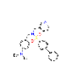 CCN(CC)c1ccc(CN(Cc2cccnc2)S(=O)(=O)c2ccc(-c3ccccc3)cc2)cc1